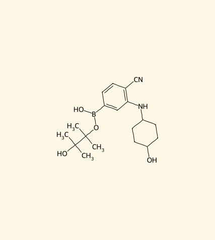 CC(C)(O)C(C)(C)OB(O)c1ccc(C#N)c(NC2CCC(O)CC2)c1